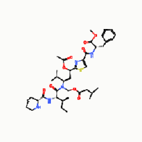 CC[C@H](C)[C@H](NC(=O)[C@H]1CCCCN1)C(=O)N(COC(=O)CC(C)C)[C@H](C[C@@H](OC(C)=O)c1nc(C(=O)N[C@@H](Cc2ccccc2)C(=O)OC)cs1)C(C)C